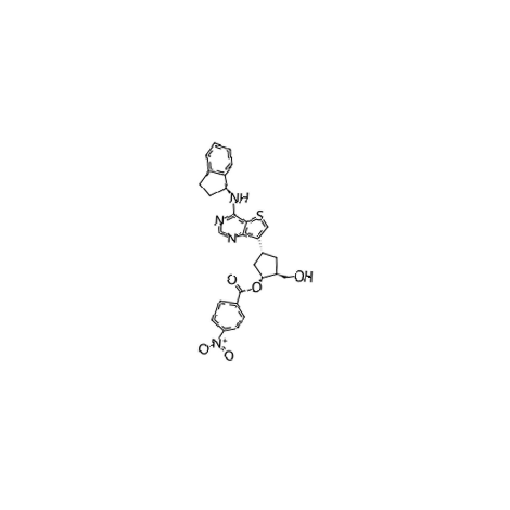 O=C(O[C@H]1C[C@H](c2csc3c(N[C@H]4CCc5ccccc54)ncnc23)C[C@H]1CO)c1ccc([N+](=O)[O-])cc1